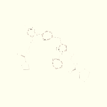 Cc1cc(OCOC(=O)C2CCCC2)n(-c2ccc(Cc3cc(OCOC(=O)C4CCCCC4)n(-c4ccccc4)n3)cc2)n1